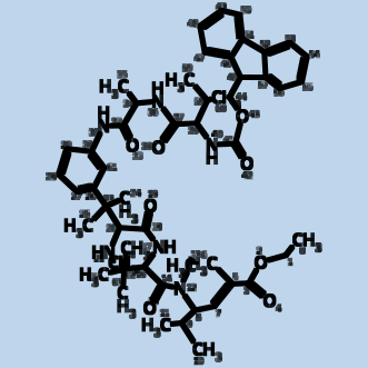 CCOC(=O)C(C)=CC(C(C)C)N(C)C(=O)C(NC(=O)C(NC)C(C)(C)c1cccc(NC(=O)C(C)NC(=O)C(NC(=O)OCC2c3ccccc3-c3ccccc32)C(C)C)c1)C(C)(C)C